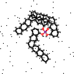 O=P(Oc1cccc2cc3ccc4cc5cc6ccccc6cc5cc4c3cc12)(Oc1cccc2cc3ccc4cc5cc6ccccc6cc5cc4c3cc12)Oc1cccc2cc3ccc4cc5cc6ccccc6cc5cc4c3cc12